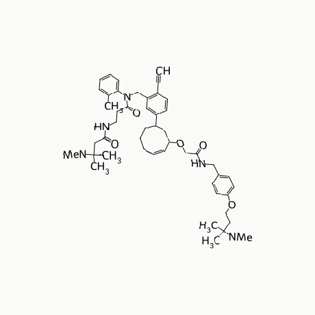 C#Cc1ccc(C2CCC/C=C\C(OCC(=O)NCc3ccc(OCCC(C)(C)NC)cc3)C2)cc1CN(C(=O)CCNC(=O)CC(C)(C)NC)c1ccccc1C